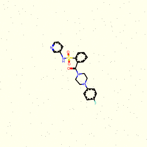 O=C(c1ccccc1S(=O)(=O)Nc1cccnc1)N1CCN(c2ccc(F)cc2)CC1